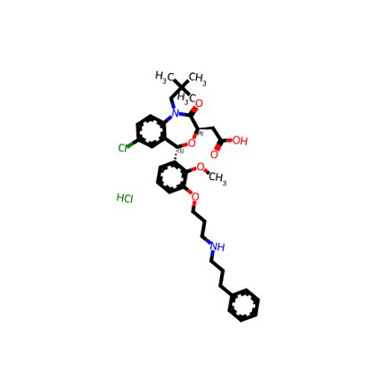 COc1c(OCCCNCCCc2ccccc2)cccc1[C@H]1O[C@H](CC(=O)O)C(=O)N(CC(C)(C)C)c2ccc(Cl)cc21.Cl